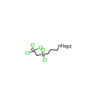 CCCCCCCCCC[Si](Cl)(Cl)C[Si](Cl)(Cl)Cl